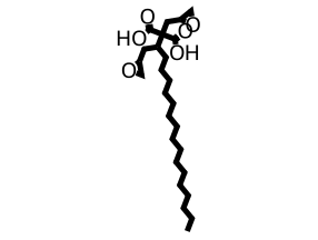 CCCCCCCCCCCCCCCCC(CC1CO1)C(CC1CO1)(C(=O)O)C(=O)O